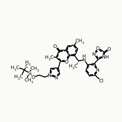 Cc1cc([C@@H](C)Nc2ccc(Cl)nc2-c2noc(=O)[nH]2)c2oc(-c3cnn(CCO[Si](C)(C)C(C)(C)C)c3)c(C)c(=O)c2c1